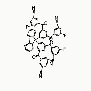 N#Cc1cc(F)cc(C(=O)c2cc(C(=O)c3cc(F)cc(C#N)c3)cc(C3(c4cc(C(=O)c5cc(F)cc(C#N)c5)cc(C(=O)c5cc(F)cc(C#N)c5)c4)c4ccccc4-c4ccccc43)c2)c1